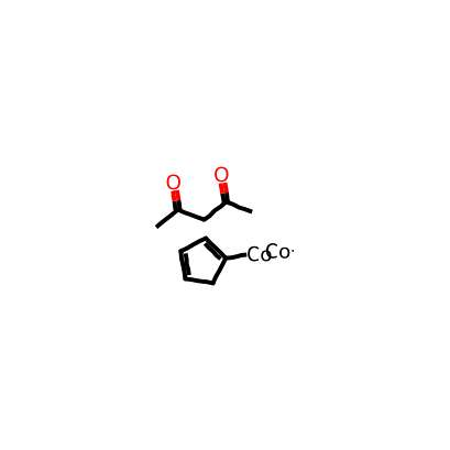 CC(=O)CC(C)=O.[Co].[Co][C]1=CC=CC1